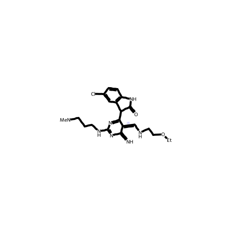 CCOCCN/C=C1\C(=N)N=C(NCCCNC)N=C1C1C(=O)Nc2ccc(Cl)cc21